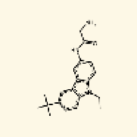 CCn1c2ccc(NC(=O)CN)cc2c2cc(C(C)(C)C)ccc21